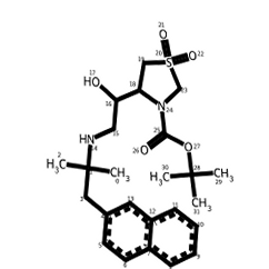 CC(C)(Cc1ccc2ccccc2c1)NCC(O)C1CS(=O)(=O)CN1C(=O)OC(C)(C)C